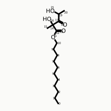 CCCCCCCCCCCOC(=O)C(C)(O)C(=O)C(C)O